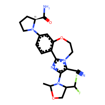 CC1OCC(C(F)F)N1c1nc2n(c1C#N)CCOc1cc(N3CCC[C@H]3C(N)=O)ccc1-2